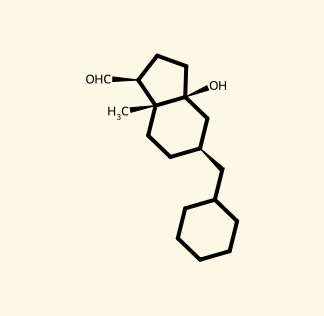 C[C@]12CC[C@H](CC3CCCCC3)C[C@@]1(O)CC[C@@H]2C=O